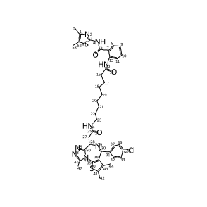 Cc1nc(NC(=O)c2ccccc2NC(=O)CCCCCCCCNC(=O)C[C@@H]2N=C(c3ccc(Cl)cc3)c3c(sc(C)c3C)-n3c(C)nnc32)sc1C